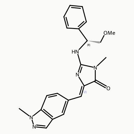 COC[C@H](NC1=N/C(=C\c2ccc3c(cnn3C)c2)C(=O)N1C)c1ccccc1